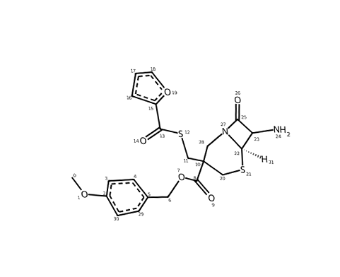 COc1ccc(COC(=O)C2(CSC(=O)c3ccco3)CS[C@@H]3C(N)C(=O)N3C2)cc1